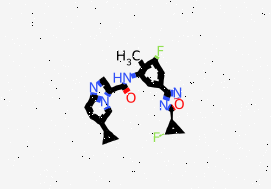 Cc1c(F)cc(-c2noc([C@H]3C[C@@H]3F)n2)cc1NC(=O)c1cnc2ccc(C3CC3)cn12